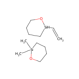 C=C[SiH]1CCCCO1.C[Si]1(C)CCCCO1